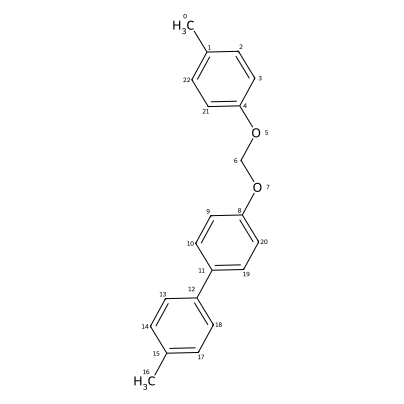 Cc1ccc(OCOc2ccc(-c3ccc(C)cc3)cc2)cc1